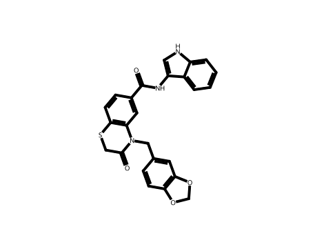 O=C(Nc1c[nH]c2ccccc12)c1ccc2c(c1)N(Cc1ccc3c(c1)OCO3)C(=O)CS2